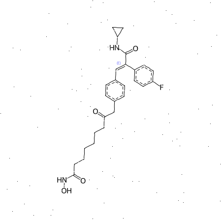 O=C(CCCCCCC(=O)NO)Cc1ccc(/C=C(/C(=O)NC2CC2)c2ccc(F)cc2)cc1